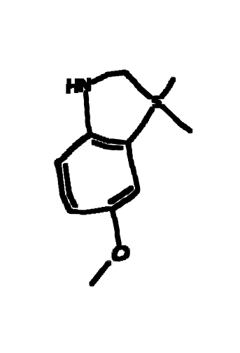 COc1ccc2c(c1)S(C)(C)CN2